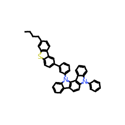 CCCCc1ccc2c(c1)sc1ccc(-c3cccc(-n4c5ccccc5c5ccc6c(c7ccccc7n6-c6ccccc6)c54)c3)cc12